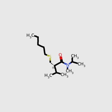 CCCCCSC[C@H](C(=O)N(C)C(C)C)C(C)C